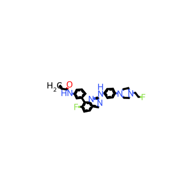 C=CC(=O)Nc1cccc(-c2c(F)ccc3cnc(Nc4ccc(N5CCN(CCF)CC5)cc4)nc23)c1